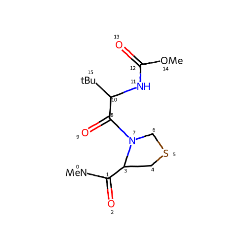 CNC(=O)C1CSCN1C(=O)C(NC(=O)OC)C(C)(C)C